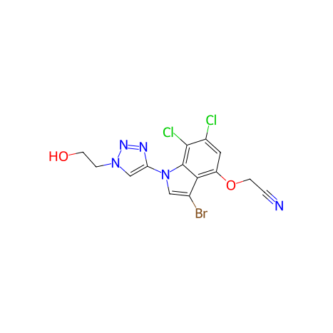 N#CCOc1cc(Cl)c(Cl)c2c1c(Br)cn2-c1cn(CCO)nn1